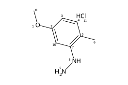 COc1ccc(C)c(NN)c1.Cl